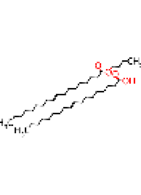 CCCCCCCCC=CCCCCCCCC(=O)O.CCCCCCCCC=CCCCCCCCC(=O)OCCCC